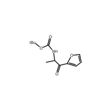 CC(NC(=O)OC(C)(C)C)C(=O)c1ccco1